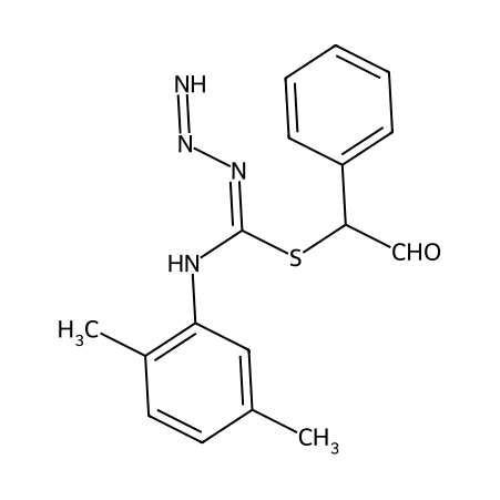 Cc1ccc(C)c(N/C(=N\N=N)SC(C=O)c2ccccc2)c1